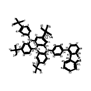 CC(C)(C)c1ccc(N2c3cc(C(C)(C)C)ccc3B3c4cc(C(C)(C)C)ccc4N(c4ccc(-c5cccc6sc7ccccc7c56)cc4)c4cc(C(C)(C)C)cc2c43)cc1